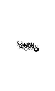 CSc1nnc(NC(=O)c2nnc(-c3ccccn3)o2)s1